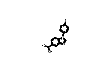 OC(O)c1ccc2c(c1)ncn2-c1ccc(F)cc1